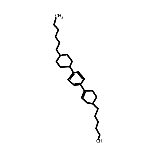 CCCCCCC1CC=C(c2ccc(C3CCC(CCCCCC)CC3)cc2)CC1